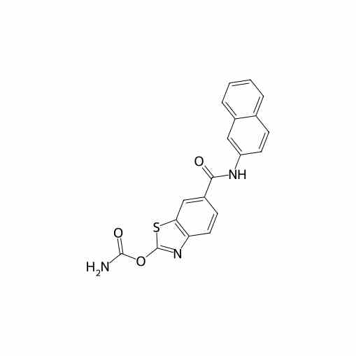 NC(=O)Oc1nc2ccc(C(=O)Nc3ccc4ccccc4c3)cc2s1